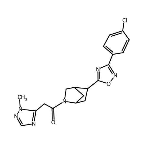 Cn1ncnc1CC(=O)N1CC2CC1CC2c1nc(-c2ccc(Cl)cc2)no1